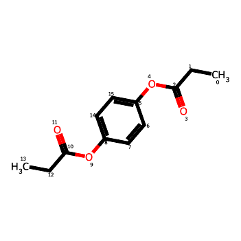 CCC(=O)Oc1ccc(OC(=O)CC)cc1